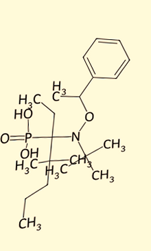 CCCC(C)(C)C(CC)(N(OC(C)c1ccccc1)C(C)(C)C)P(=O)(O)O